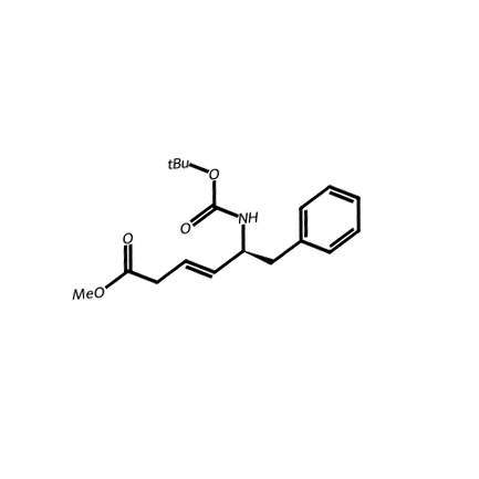 COC(=O)C/C=C/[C@H](Cc1ccccc1)NC(=O)OC(C)(C)C